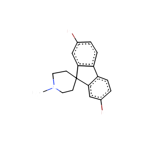 O=C(O)N1CCC2(CC1)c1cc(Br)ccc1-c1ccc(Br)cc12